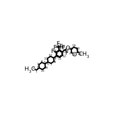 CCC1CCC(C2CCC(c3ccc(C(F)(F)OC4CCC(C)OC4)c(C(F)(F)F)c3F)CC2)CC1